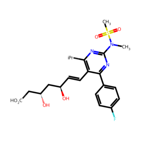 CC(C)c1nc(N(C)S(C)(=O)=O)nc(-c2ccc(F)cc2)c1/C=C/[C@@H](O)C[C@H](O)CC(=O)O